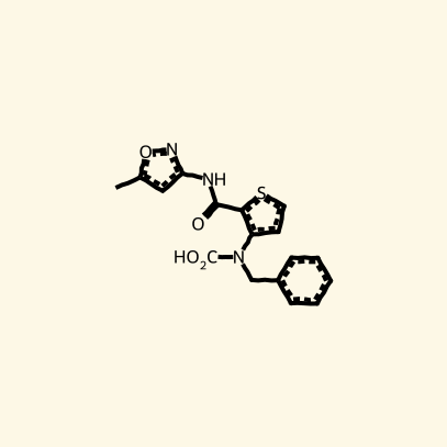 Cc1cc(NC(=O)c2sccc2N(Cc2ccccc2)C(=O)O)no1